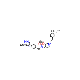 CCOC(=O)c1ccc(CCCN2CCC(CN(C(=O)OC(C)(C)C)C3CC3c3ccc(/C(C=N)=C/NC)cc3)CC2)cc1